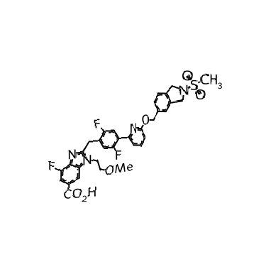 COCCn1c(Cc2cc(F)c(-c3cccc(OCc4ccc5c(c4)CN(S(C)(=O)=O)C5)n3)cc2F)nc2c(F)cc(C(=O)O)cc21